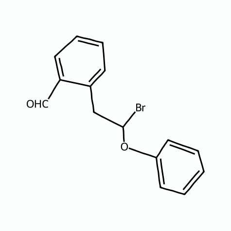 O=Cc1ccccc1CC(Br)Oc1ccccc1